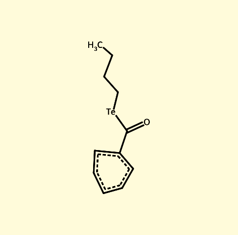 CCCC[Te]C(=O)c1ccccc1